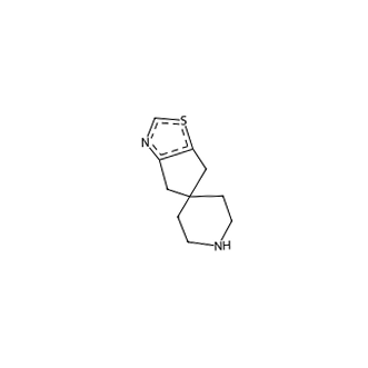 c1nc2c(s1)CC1(CCNCC1)C2